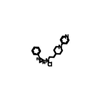 ClN(CCC1CCN(c2ccncc2)CC1)[C@@H]1C[C@H]1c1ccccc1